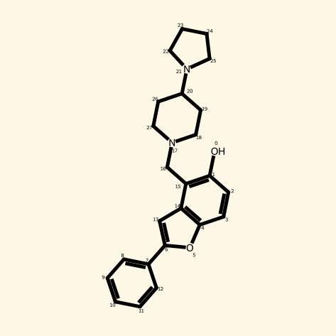 Oc1ccc2oc(-c3ccccc3)cc2c1CN1CCC(N2CCCC2)CC1